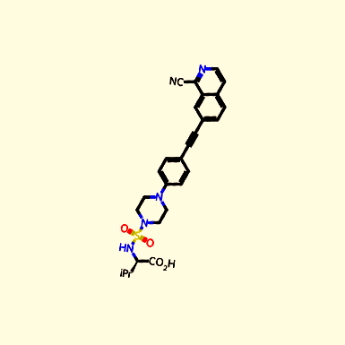 CC(C)[C@@H](NS(=O)(=O)N1CCN(c2ccc(C#Cc3ccc4ccnc(C#N)c4c3)cc2)CC1)C(=O)O